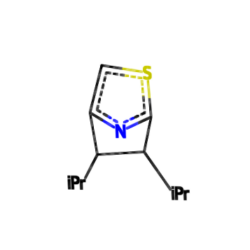 CC(C)C1c2csc(n2)C1C(C)C